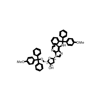 COc1ccc(C(Nc2ncnc3c2ncn3[C@H]2C[C@@H](O)[C@H](COC(c3ccccc3)(c3ccccc3)c3ccc(OC)cc3)O2)(c2ccccc2)c2ccccc2)cc1